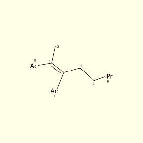 CC(=O)/C(C)=C(/CCC(C)C)C(C)=O